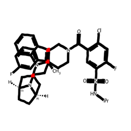 Cc1nc2ccccc2n1C1C[C@H]2CC[C@@H](C1)N2CCC1(c2cccc(F)c2)CCN(C(=O)c2cc(S(=O)(=O)NC(C)C)c(F)cc2Cl)CC1